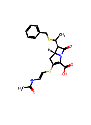 CC(=O)NC=CSC1=C(C(=O)O)N2C(=O)[C@H](C(C)SCc3ccccc3)[C@H]2C1